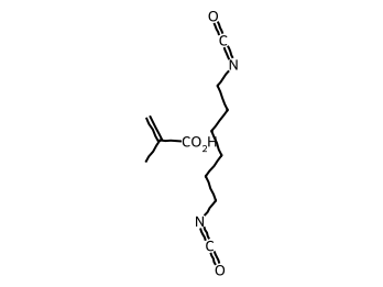 C=C(C)C(=O)O.O=C=NCCCCCCN=C=O